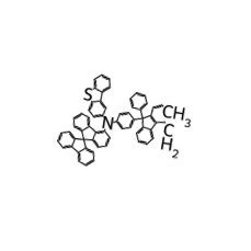 C=CC1=C(/C=C\C)C(c2ccccc2)(c2ccc(N(c3ccc4sc5ccccc5c4c3)c3cccc4c3-c3ccccc3C43c4ccccc4-c4ccccc43)cc2)c2ccccc21